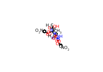 C[C@@H](O)C1C(=O)N2C(C(=O)OC(=O)c3ccc([N+](=O)[O-])cc3)=C(CN3CC[C@H](NC(=NC(=O)OC(=O)c4ccc([N+](=O)[O-])cc4)NS(C)(=O)=O)C3)[C@H](C)[C@H]12